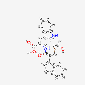 COC(=O)C(Cc1c[nH]c2ccccc12)NC(=O)C(CSC(C)=O)C1CCc2ccccc21